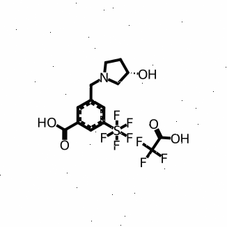 O=C(O)C(F)(F)F.O=C(O)c1cc(CN2CC[C@H](O)C2)cc(S(F)(F)(F)(F)F)c1